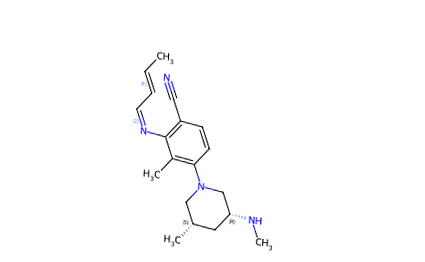 C/C=C/C=N\c1c(C#N)ccc(N2C[C@@H](C)C[C@@H](NC)C2)c1C